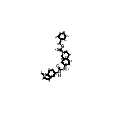 Cn1ccc2cc(NC(=O)Nc3ccc4c(c3)CN(C(=O)OCc3ccccc3)CC4)ccc21